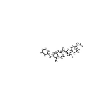 C=C(CC1(C)CC2=C(C)CC(C2)C1)Nc1cc2nc(Cc3ccccc3)[nH]c2cn1